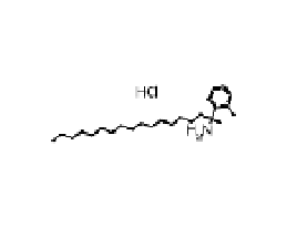 CCCCCCCCCCCCCCCCC(C)(N)c1ccccc1C.Cl